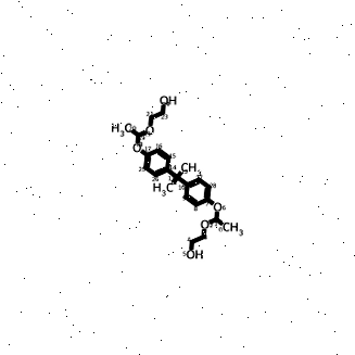 CC(OCCO)Oc1ccc(C(C)(C)c2ccc(OC(C)OCCO)cc2)cc1